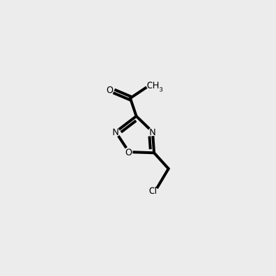 CC(=O)c1noc(CCl)n1